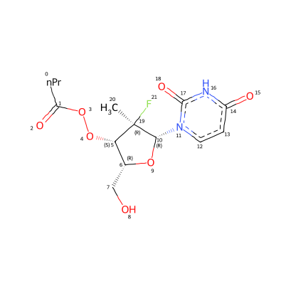 CCCC(=O)OO[C@H]1[C@@H](CO)O[C@@H](n2ccc(=O)[nH]c2=O)[C@]1(C)F